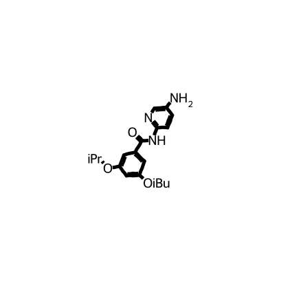 CC(C)COc1cc(OC(C)C)cc(C(=O)Nc2ccc(N)cn2)c1